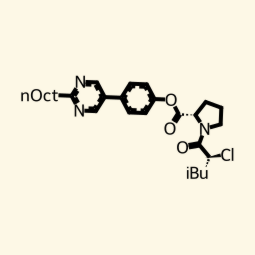 CCCCCCCCc1ncc(-c2ccc(OC(=O)[C@@H]3CCCN3C(=O)[C@@H](Cl)[C@@H](C)CC)cc2)cn1